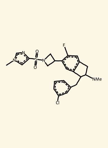 CNC1Cc2cc(F)c(C3CN(S(=O)(=O)c4cn(C)cn4)C3)cc2C1Cc1cccc(Cl)c1